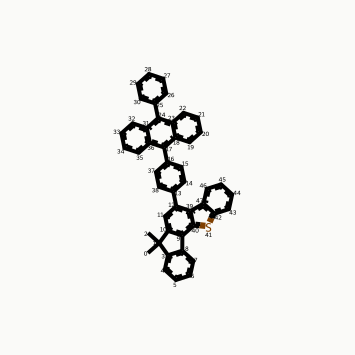 CC1(C)c2ccccc2-c2c1cc(-c1ccc(-c3c4ccccc4c(-c4ccccc4)c4ccccc34)cc1)c1c2sc2ccccc21